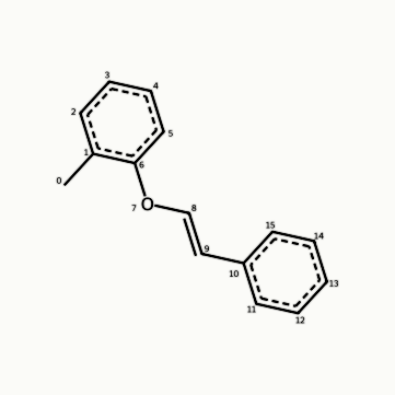 Cc1ccccc1OC=Cc1ccccc1